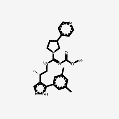 Cc1cc(C)cc(-c2[nH]ncc2[C@H](C)CNC(=NC(=O)OC(C)C)N2CCC(c3ccncc3)C2)c1